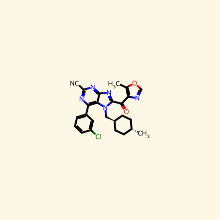 Cc1ocnc1C(=O)c1nc2nc(C#N)nc(-c3cccc(Cl)c3)c2n1C[C@H]1CC[C@H](C)CC1